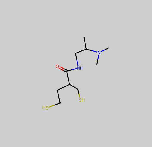 CC(CNC(=O)C(CS)CCS)N(C)C